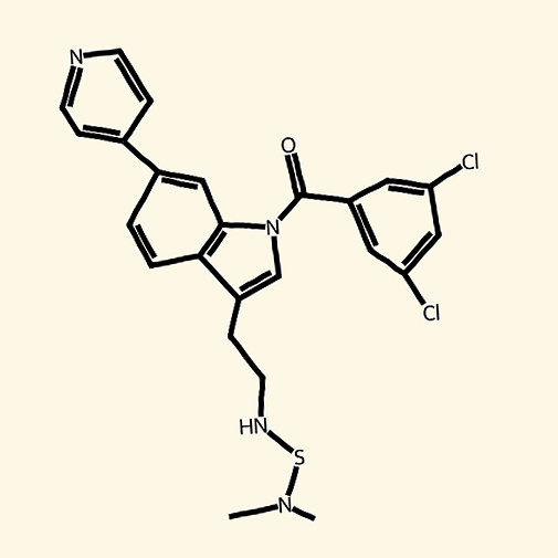 CN(C)SNCCc1cn(C(=O)c2cc(Cl)cc(Cl)c2)c2cc(-c3ccncc3)ccc12